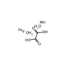 O.O.O=C(O)C(=O)O.[Fe].[Mn].[V]